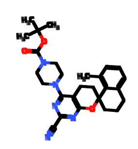 Cc1cccc2c1C1(CCC2)CCc2c(nc(C#N)nc2N2CCN(C(=O)OC(C)(C)C)CC2)O1